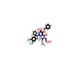 CC(C)N(CCO)C(=O)c1nc(CC2(c3ccc(Cl)c(Cl)c3)CCCC2)nc(O)c1OCc1ccccc1